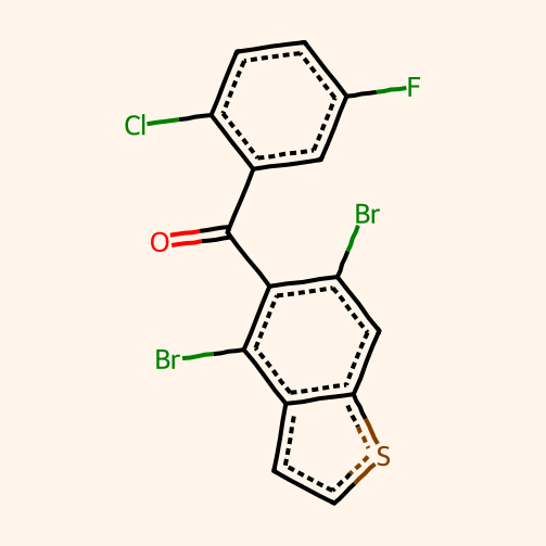 O=C(c1cc(F)ccc1Cl)c1c(Br)cc2sccc2c1Br